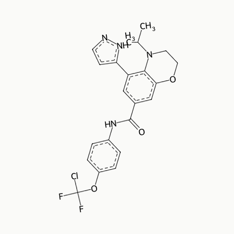 CC(C)N1CCOc2cc(C(=O)Nc3ccc(OC(F)(F)Cl)cc3)cc(-c3ccn[nH]3)c21